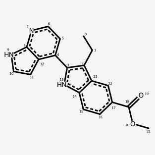 CCc1c(-c2ccnc3[nH]ccc23)[nH]c2ccc(C(=O)OC)cc12